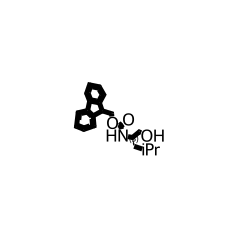 CC(C)C[C@@H](CO)NC(=O)OCC1c2ccccc2-c2ccccc21